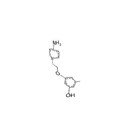 Cc1cc(O)cc(OCC[n+]2ccc(N)cc2)c1